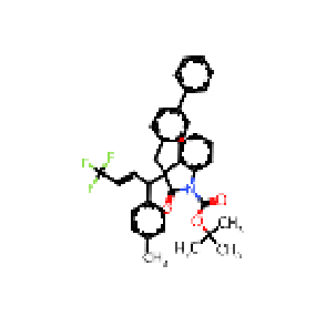 Cc1ccc(C(/C=C/C(F)(F)F)C2(Cc3ccc(-c4ccccc4)cc3)C(=O)N(C(=O)OC(C)(C)C)c3ccccc32)cc1